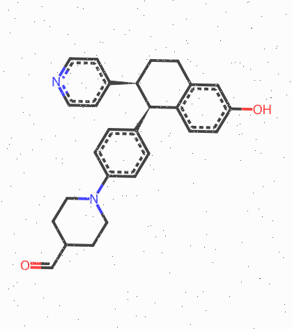 O=CC1CCN(c2ccc([C@@H]3c4ccc(O)cc4CC[C@@H]3c3ccncc3)cc2)CC1